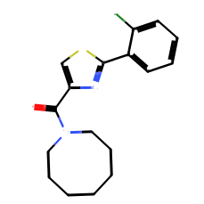 O=C(c1csc(-c2ccccc2Cl)n1)N1CCCCCCC1